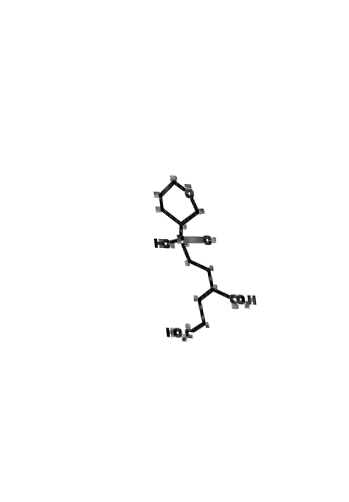 O=C(O)CCC(CCP(=O)(O)C1CCCOC1)C(=O)O